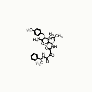 CC(C)C[C@H](NC(=O)C1O[C@H]1C(=O)N[C@@H](C)c1ccccc1)C(=O)N[C@@H](Cc1ccc(O)cc1)C(N)=O